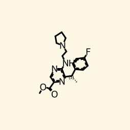 COC(=O)c1cnc(NCCN2CCCC2)c([C@@H](C)c2ccc(F)cc2)n1